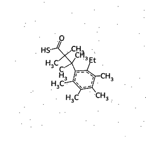 CCc1c(C)c(C)c(C)c(C)c1C(C)(C)C(C)(C)C(=O)S